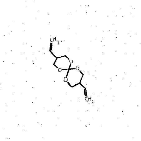 C=CC1COC2(OC1)OCC(C=C)CO2